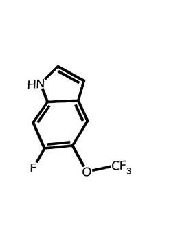 Fc1cc2[nH]ccc2cc1OC(F)(F)F